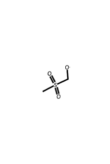 CS(=O)(=O)C[O]